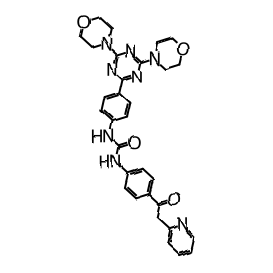 O=C(Nc1ccc(C(=O)Cc2ccccn2)cc1)Nc1ccc(-c2nc(N3CCOCC3)nc(N3CCOCC3)n2)cc1